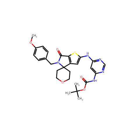 COc1ccc(CN2C(=O)c3sc(Nc4cc(NC(=O)OC(C)(C)C)ncn4)cc3C23CCOCC3)cc1